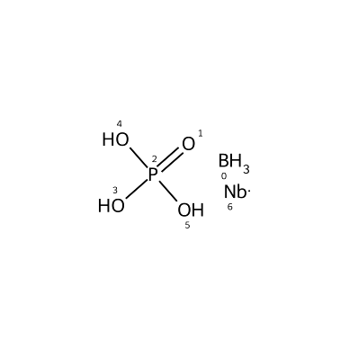 B.O=P(O)(O)O.[Nb]